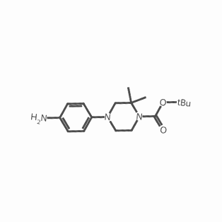 CC(C)(C)OC(=O)N1CCN(c2ccc(N)cc2)CC1(C)C